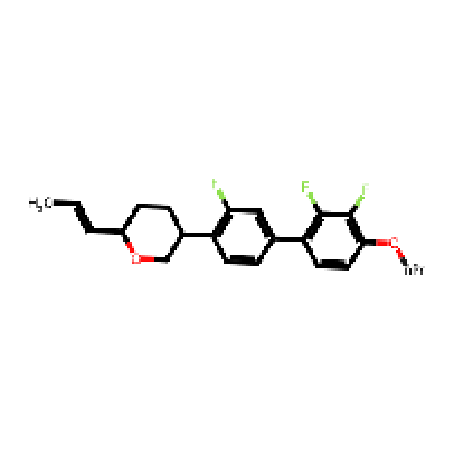 C/C=C/C1CCC(c2ccc(-c3ccc(OCCC)c(F)c3F)cc2F)CO1